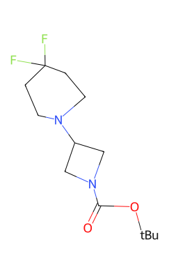 CC(C)(C)OC(=O)N1CC(N2CCC(F)(F)CC2)C1